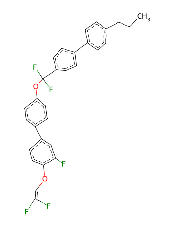 CCCc1ccc(-c2ccc(C(F)(F)Oc3ccc(-c4ccc(OC=C(F)F)c(F)c4)cc3)cc2)cc1